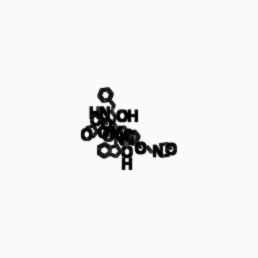 CO[C@@H]1COC[C@H]1OC(=O)N[C@@H](Cc1ccccc1)[C@@H](O)C[C@@H](Cc1ccc(OCCN2CCOCC2)cc1)C(=O)N[C@H]1c2ccccc2C[C@H]1O